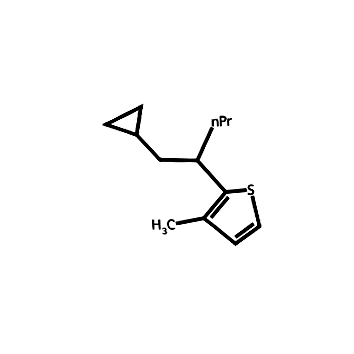 CCCC(CC1CC1)c1sccc1C